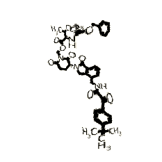 CC(C)[C@@H](NC(=O)OCc1ccccc1)C(=O)OCN1C(=O)CC[C@@H](N2Cc3c(CNC(=O)C(=O)c4ccc(C(C)(C)C)cc4)cccc3C2=O)C1=O